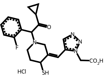 Cl.O=C(O)Cn1nncc1C=C1CN(C(C(=O)C2CC2)c2ccccc2F)CCC1S